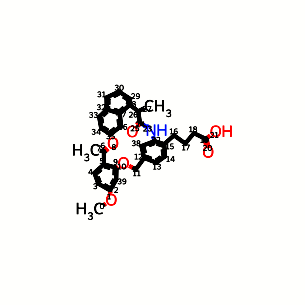 COc1ccc(C(C)=O)c(OCc2ccc(CCCC(=O)O)c(NC(=O)C(C)c3cccc4ccccc34)c2)c1